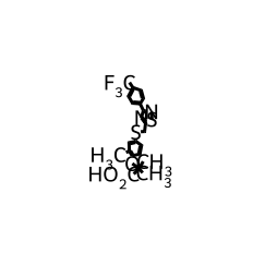 Cc1cc(SCc2nc(-c3ccc(C(F)(F)F)cc3)ns2)ccc1OC(C)(C)C(=O)O